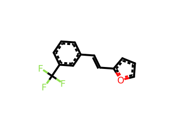 FC(F)(F)c1cccc(/C=C/c2ccco2)c1